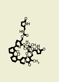 COc1nc(-c2cccc(-c3cccc(-c4ccn5c(=O)c(C)c(CN(CC6CCC(=O)N6)C(=O)OC(C)(C)C)nc5c4)c3Cl)c2Cl)ccc1COC(=O)NCC1CCC(=O)N1